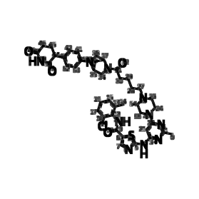 Cc1nc(Nc2ncc(C(=O)Nc3c(C)cccc3Cl)s2)cc(N2CCN(CCCCC(=O)N3CC4CC3CN4c3ccc(C4CCC(=O)NC4=O)cc3)CC2)n1